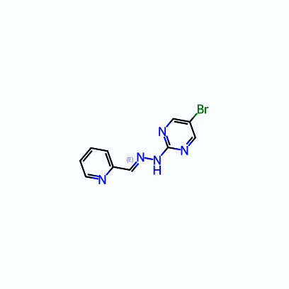 Brc1cnc(N/N=C/c2ccccn2)nc1